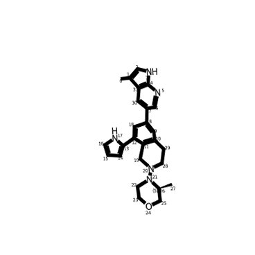 Cc1c[nH]c2ncc(-c3cc4c(c(-c5ccc[nH]5)c3)CN(N3CCOC[C@@H]3C)CC4)cc12